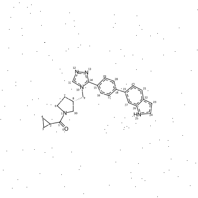 O=C(C1CC1)N1CC[C@H](Cn2cnnc2-c2ccc(-c3ccc4cc[nH]c4c3)cc2)C1